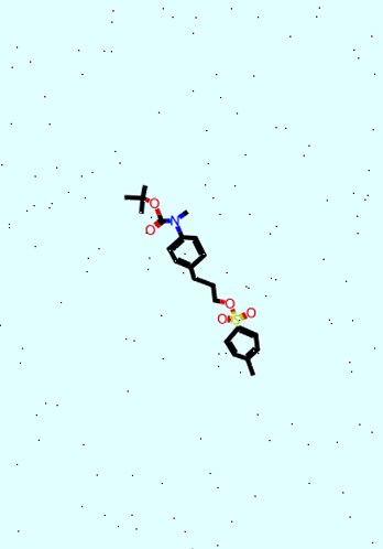 Cc1ccc(S(=O)(=O)OCCCc2ccc(N(C)C(=O)OC(C)(C)C)cc2)cc1